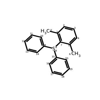 Cc1cccc(C)c1[S+](c1ccccc1)c1ccccc1